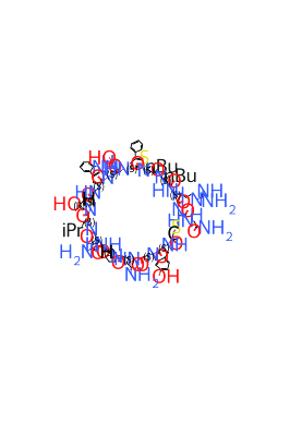 CCCC[C@H]1C(=O)N(C)[C@@H](CCCC)C(=O)N[C@@H](CCCNC(=N)N)C(=O)NC(C(=O)NCC(N)=O)CSCC(=O)N[C@@H](Cc2ccc(O)cc2)C(=O)N(C)[C@@H](C)C(=O)N[C@@H](CC(N)=O)C(=O)N2CCC[C@H]2C(=O)N[C@@H](CC(N)=O)C(=O)N[C@@H](CC(C)C)C(=O)N2C[C@H](O)C[C@H]2C(=O)N[C@@H](Cc2c[nH]c3ccccc23)C(=O)N[C@@H](CCO)C(=O)N[C@@H](Cc2csc3ccccc23)C(=O)N1C